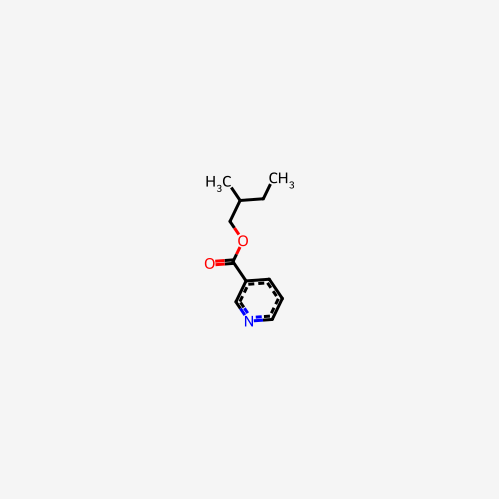 CCC(C)COC(=O)c1cccnc1